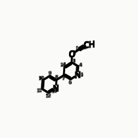 C#COc1cncc(-c2ccccn2)c1